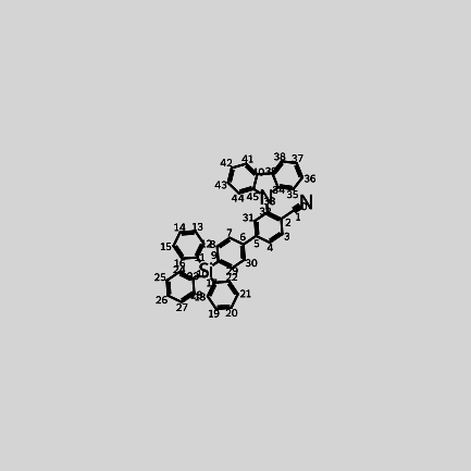 N#Cc1ccc(-c2ccc([Si](c3ccccc3)(c3ccccc3)c3ccccc3)cc2)cc1-n1c2ccccc2c2ccccc21